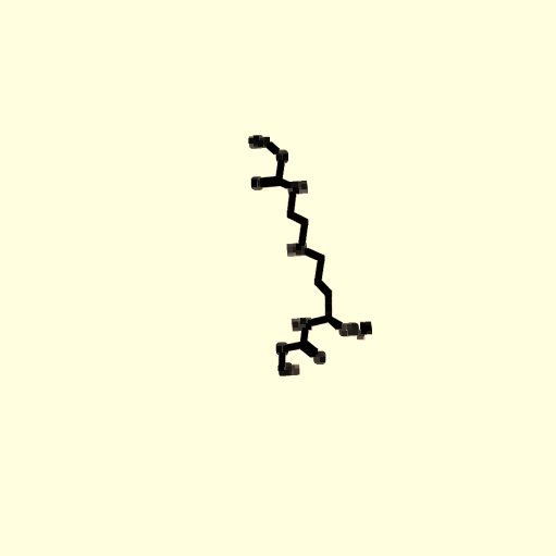 CC(C)(C)OC(=O)NCCNCCC[C@H](NC(=O)OC(C)(C)C)C(=O)O